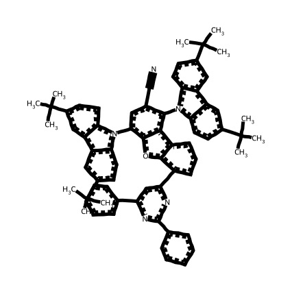 CC(C)(C)c1ccc2c(c1)c1cc(C(C)(C)C)ccc1n2-c1cc(C#N)c(-n2c3ccc(C(C)(C)C)cc3c3cc(C(C)(C)C)ccc32)c2c1oc1c(-c3cc(-c4ccccc4)nc(-c4ccccc4)n3)cccc12